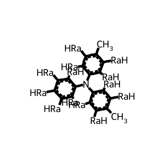 Cc1[c]([RaH])[c]([RaH])c(N(c2[c]([RaH])[c]([RaH])c(C)[c]([RaH])[c]2[RaH])c2[c]([RaH])[c]([RaH])[c]([RaH])[c]([RaH])[c]2[RaH])[c]([RaH])[c]1[RaH]